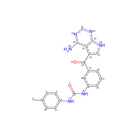 Cc1ccc(NC(=O)Nc2cccc(C(=O)c3c[nH]c4ncnc(N)c34)c2)cc1